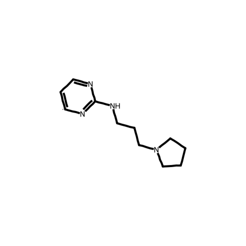 [c]1ccnc(NCCCN2CCCC2)n1